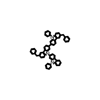 c1ccc(Cc2ccc3c(c2)c2ccc(-c4ccc5c6cc(Cc7ccccc7)ccc6n(-c6ccc7c8ccccc8n(-c8ccccc8)c7c6)c5c4)cc2n3-c2ccccc2)cc1